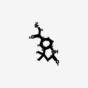 CC1(C)CC(=O)Nc2ccc(C(=O)CBr)cc21